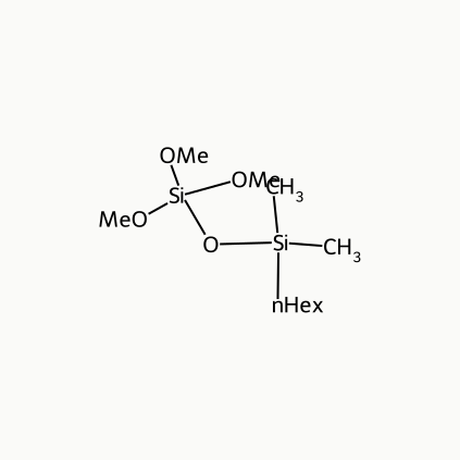 CCCCCC[Si](C)(C)O[Si](OC)(OC)OC